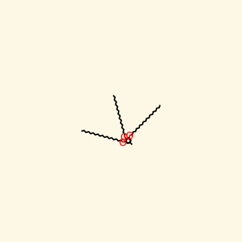 CCCCCCCCCCCCCCCCCCOc1cc(C)cc(OCCCCCCCCCCCCCCCCCC)c1OCCCCCCCCCCCCCCCCCC